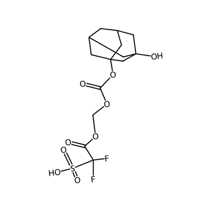 O=C(OCOC(=O)C(F)(F)S(=O)(=O)O)OC12CC3CC(CC(O)(C3)C1)C2